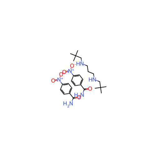 CC(C)(C)CNCCCNCC(C)(C)C.NC(=O)c1ccc([N+](=O)[O-])cc1.NC(=O)c1ccc([N+](=O)[O-])cc1